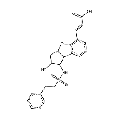 O=C(O)C=Cc1cccc2c1OC1CC(O)C(NS(=O)(=O)CCc3ccccc3)C21